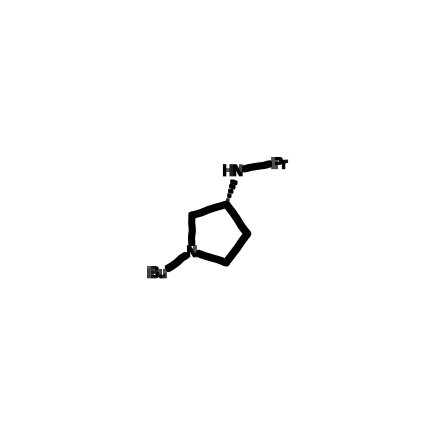 CCC(C)N1CC[C@@H](NC(C)C)C1